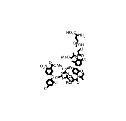 CC1COc2ccccc2N1C(=O)C(Cl)Cl.CCNc1nc(Cl)nc(NC(C)C)n1.CCc1cccc(C)c1N(C(=O)CCl)C(C)COC.COC(=O)c1cc(Oc2ccc(Cl)cc2Cl)ccc1[N+](=O)[O-].CP(=O)(O)CCC(N)C(=O)O